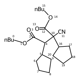 CCCCOC(=O)C(C1CCCC1)C(C#N)(C(=O)OCCCC)C1CCCC1